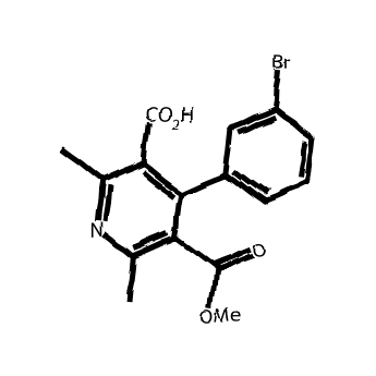 COC(=O)c1c(C)nc(C)c(C(=O)O)c1-c1cccc(Br)c1